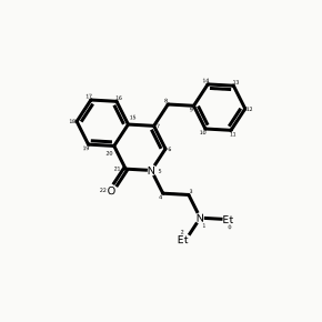 CCN(CC)CCn1cc(Cc2ccccc2)c2ccccc2c1=O